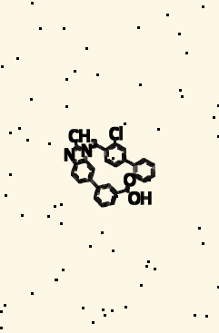 Cc1nc2ccc(-c3cccc(C(=O)O)c3)cc2n1Cc1ccc(-c2ccccc2)cc1Cl